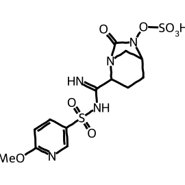 COc1ccc(S(=O)(=O)NC(=N)C2CCC3CN2C(=O)N3OS(=O)(=O)O)cn1